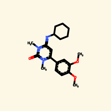 COc1ccc(-c2cc(=NC3CCCCC3)n(C)c(=O)n2C)cc1OC